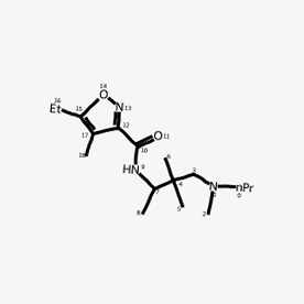 CCCN(C)CC(C)(C)C(C)NC(=O)c1noc(CC)c1C